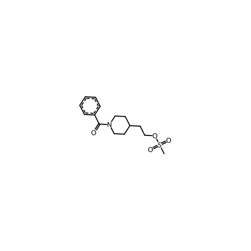 CS(=O)(=O)OCCC1CCN(C(=O)c2ccccc2)CC1